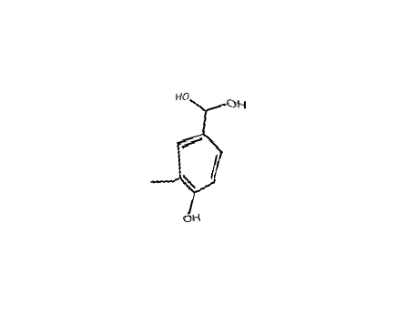 Cc1cc(C(O)O)ccc1O